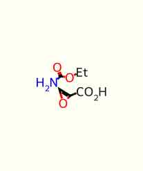 CCOC(N)=O.O=C(O)C1=CO1